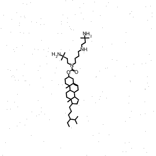 CCC(CCCC1CCC2C3CC=C4CC(OC(=O)N(CCCCNCCC(C)(C)N)CCC(C)(C)N)CCC4(C)C3CCC12C)C(C)C